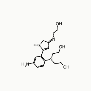 C=S1CC(=NCCO)C=C1c1cc(N)ccc1N(CCO)CCO